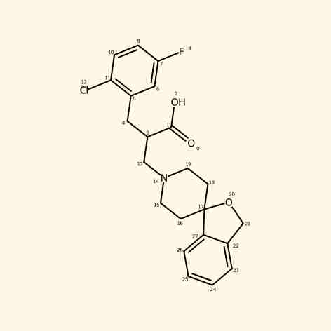 O=C(O)C(Cc1cc(F)ccc1Cl)CN1CCC2(CC1)OCc1ccccc12